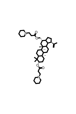 C=C(C)[C@@H]1CCC2C1C1CCC3[C@@]4(C)CC[C@H](OC(=O)CCN5CCCCC5)C(C)(C)C4CC[C@@]3(C)[C@]1(C)C[C@@H]2COC(=O)CCN1CCCCC1